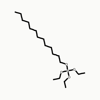 CCCCCCCCCCCCCO[Si](OCC)(OCC)OCC